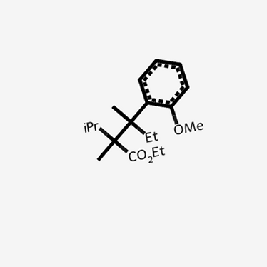 CCOC(=O)C(C)(C(C)C)C(C)(CC)c1ccccc1OC